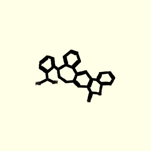 O=c1oc2ccccc2c2cc3c(cc12)CCC(c1ccccc1B(O)O)c1ccccc1-3